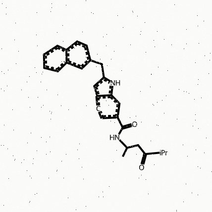 CC(CC(=O)C(C)C)NC(=O)c1ccc2cc(Cc3ccc4ccccc4c3)[nH]c2c1